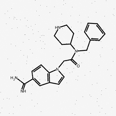 N=C(N)c1ccc2c(ccn2CC(=O)N(Cc2ccccc2)C2CCNCC2)c1